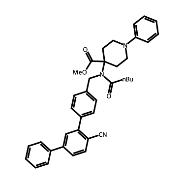 CCCCC(=O)N(Cc1ccc(-c2cc(-c3ccccc3)ccc2C#N)cc1)C1(C(=O)OC)CCN(c2ccccc2)CC1